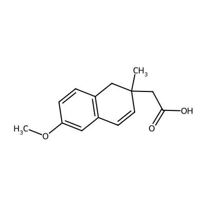 COc1ccc2c(c1)C=CC(C)(CC(=O)O)C2